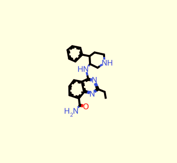 CCc1nc(NC2CNCCC2c2ccccc2)c2cccc(C(N)=O)c2n1